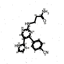 N#Cc1ccc(-c2nc(NCCC(N)=O)ncc2-c2ncc[nH]2)cc1